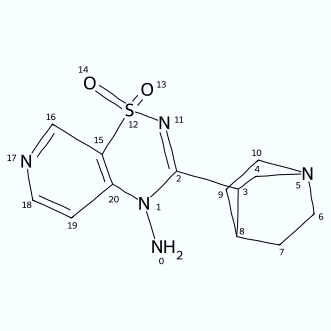 NN1C(C2CN3CCC2CC3)=NS(=O)(=O)c2cnccc21